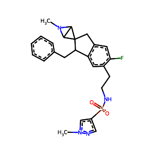 CN1C2C1C21Cc2cc(F)c(CCNS(=O)(=O)c3cnn(C)c3)cc2C1Cc1ccccc1